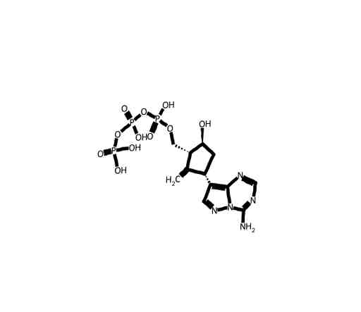 C=C1[C@@H](c2cnn3c(N)ncnc23)C[C@H](O)[C@H]1COP(=O)(O)OP(=O)(O)OP(=O)(O)O